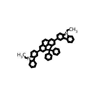 CCn1c2ccccc2c2cc(-c3cc4c5c(ccc6cc(-c7ccc8c(c7)c7ccccc7n8CC)cc(c65)C4(c4ccccc4)c4ccccc4)c3)ccc21